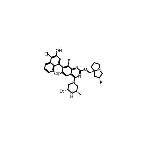 CC[C@@H]1CN(c2nc(OC[C@@]34CCCN3C[C@H](F)C4)nc3c(F)c(-c4cc(O)c(Cl)c5cccc(Cl)c45)c(F)cc23)C[C@@H](C)N1